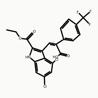 CCOC(=O)c1[nH]c2cc(Cl)cc(Cl)c2c1/C=C(\C(=O)O)c1ccc(C(F)(F)F)cc1